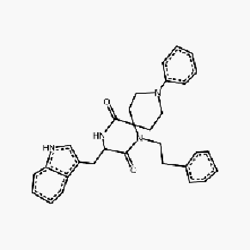 O=C1C(Cc2c[nH]c3ccccc23)NC(=O)C2(CCN(c3ccccc3)CC2)N1CCc1ccccc1